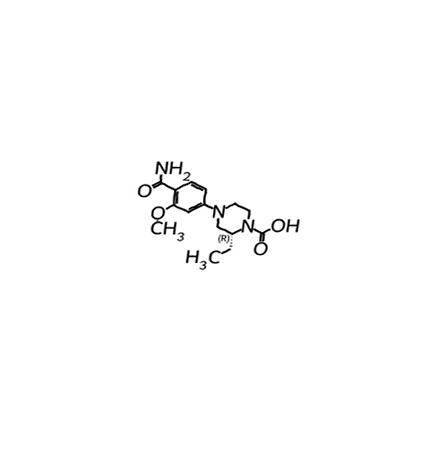 CC[C@@H]1CN(c2ccc(C(N)=O)c(OC)c2)CCN1C(=O)O